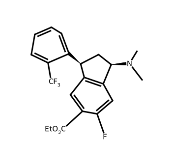 CCOC(=O)c1cc2c(cc1F)[C@H](N(C)C)C[C@@H]2c1ccccc1C(F)(F)F